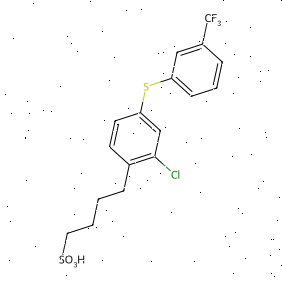 O=S(=O)(O)CCCCc1ccc(Sc2cccc(C(F)(F)F)c2)cc1Cl